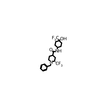 O=C(NC1CCC(O)(C(F)(F)F)CC1)C1CCN(Cc2ccccc2)[C@@H](C(F)(F)F)C1